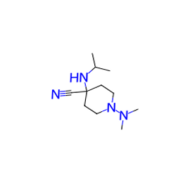 CC(C)NC1(C#N)CCN(N(C)C)CC1